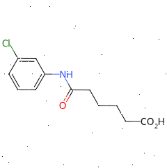 O=C(O)CCCCC(=O)Nc1cccc(Cl)c1